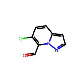 O=Cc1c(Cl)ccc2ccnn12